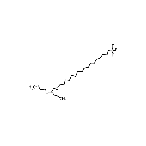 CCCCOC(CCC)COCCCCCCCCCCCCCCCCCC(F)(F)F